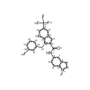 Cn1ccc2cc(NC(=O)c3cc4cc(C(F)(F)F)cnc4n3Cc3cccc(F)c3)ccc21